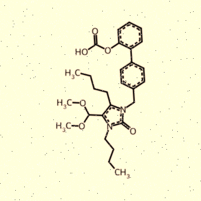 CCCCc1c(C(OC)OC)n(CCCC)c(=O)n1Cc1ccc(-c2ccccc2OC(=O)O)cc1